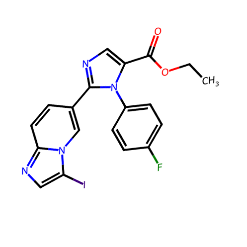 CCOC(=O)c1cnc(-c2ccc3ncc(I)n3c2)n1-c1ccc(F)cc1